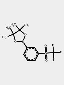 CC1(C)OB(c2cccc(S(=O)(=O)C(F)(F)F)c2)OC1(C)C